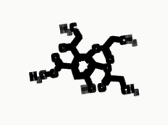 CCC(=O)Oc1c(O)cc(C(=O)OC)c(C(=O)CC)c1OC(=O)CC